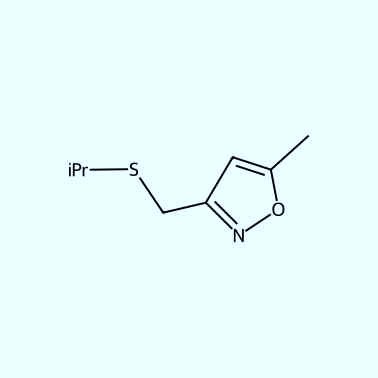 Cc1cc(CSC(C)C)no1